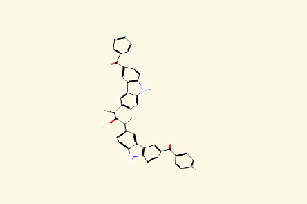 CCn1c2ccc(C(=O)c3ccc(F)cc3)cc2c2cc(C(C)C(=O)C(C)c3ccc4c(c3)c3cc(C(=O)c5ccc(F)cc5)ccc3n4CC)ccc21